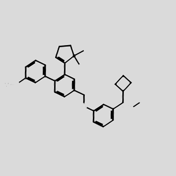 COc1cccc(-c2ccc(COc3cccc([C@@H](CC(=O)O)C4CCC4)c3)cc2C2=CCCC2(C)C)c1